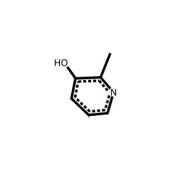 Cc1nc[c]cc1O